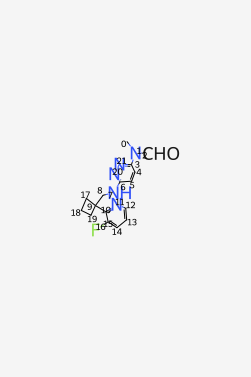 CN(C=O)c1ccc(NCC2(c3ncccc3F)CCC2)nn1